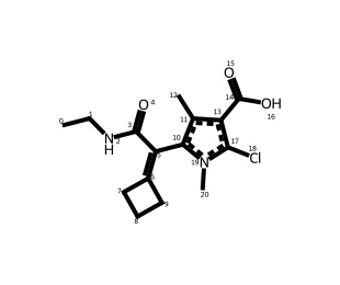 CCNC(=O)C(=C1CCC1)c1c(C)c(C(=O)O)c(Cl)n1C